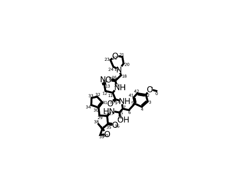 COc1ccc(CC(NC(=O)C(CC#N)NC(=O)CN2CCOCC2)C(O)NC(CC2=CCCC2)C(=O)C2(C)CO2)cc1